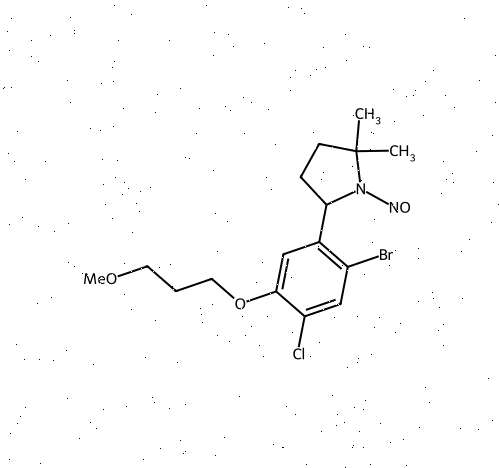 COCCCOc1cc(C2CCC(C)(C)N2N=O)c(Br)cc1Cl